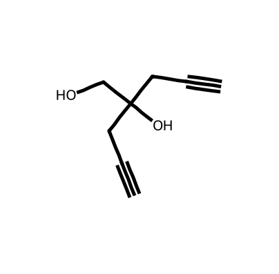 C#CCC(O)(CO)CC#C